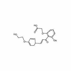 O=C(O)COc1cccc(O)c1C(=O)C=CC1C=CC(OCCO)=CC1